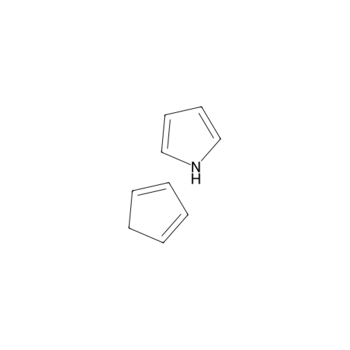 C1=CCC=C1.c1cc[nH]c1